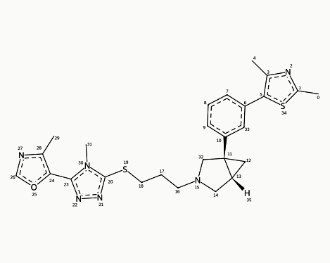 Cc1nc(C)c(-c2cccc([C@@]34C[C@@H]3CN(CCCSc3nnc(-c5ocnc5C)n3C)C4)c2)s1